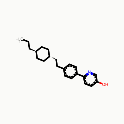 CCC[C@H]1CC[C@H](CCc2ccc(-c3ccc(O)cn3)cc2)CC1